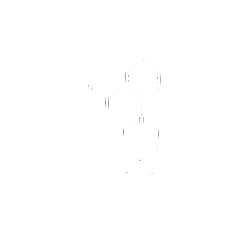 NC(=O)c1ccccc1N1CCC(F)(F)CC1